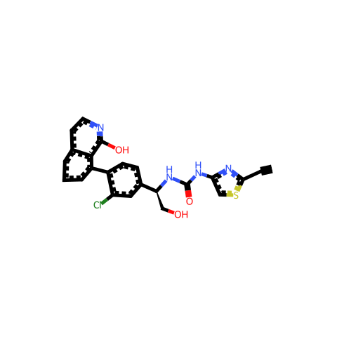 C#Cc1nc(NC(=O)N[C@@H](CO)c2ccc(-c3cccc4ccnc(O)c34)c(Cl)c2)cs1